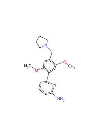 COc1cc(-c2cccc(N)n2)c(OC)cc1CN1CCCC1